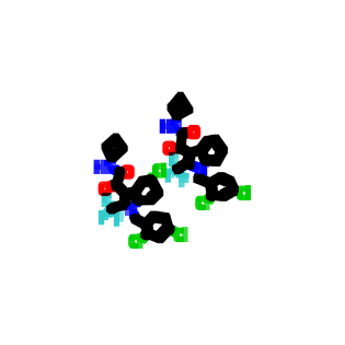 O=C(NC1CCC1)C(=O)c1c(C(F)(F)F)n(Cc2ccc(Cl)cc2Cl)c2ccc(Cl)cc12.O=C(NC1CCC1)C(=O)c1c(C(F)(F)F)n(Cc2ccc(Cl)cc2Cl)c2ccccc12